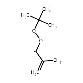 C=C(C)[CH]OOC(C)(C)C